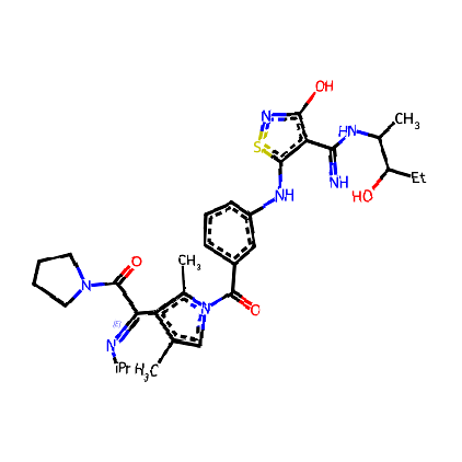 CCC(O)C(C)NC(=N)c1c(O)nsc1Nc1cccc(C(=O)n2cc(C)c(/C(=N\C(C)C)C(=O)N3CCCC3)c2C)c1